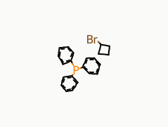 BrC1CCC1.c1ccc(P(c2ccccc2)c2ccccc2)cc1